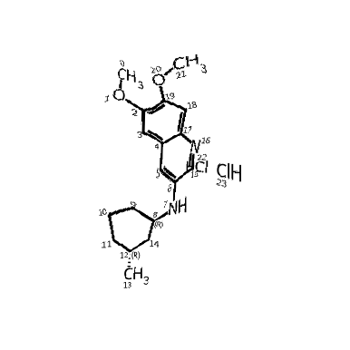 COc1cc2cc(N[C@@H]3CCC[C@@H](C)C3)cnc2cc1OC.Cl.Cl